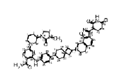 CN1CCN(C2CCCN(c3cnc(C(N)=O)c(Nc4ccc(C5CCC6(CC5)CC(N5CCc7ccc8c(C9CCC(=O)NC9=O)noc8c7C5)C6)cc4)n3)C2)C1=O